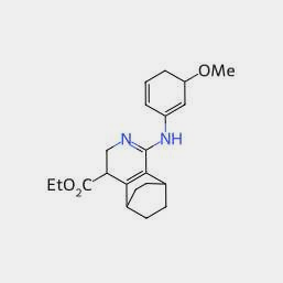 CCOC(=O)C1CN=C(NC2=CC(OC)CC=C2)C2=C1C1CCC2CC1